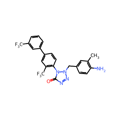 Cc1cc(Cn2nnc(=O)n2-c2ccc(-c3cccc(C(F)(F)F)c3)cc2C(F)(F)F)ccc1N